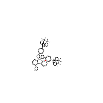 COc1cccc2c1-c1ccccc1C2(Oc1ccc(B2OC(C)(C)C(C)(C)O2)cc1)Oc1ccc(B2OC(C)(C)C(C)(C)O2)cc1